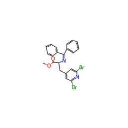 COC(=O)C(Cc1cc(Br)nc(Br)c1)N=C(c1ccccc1)c1ccccc1